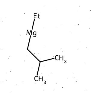 C[CH2][Mg][CH2]C(C)C